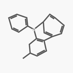 CC1C=CC2=C(C1)N(c1ccccc1)C1C=CC=CC2=C1